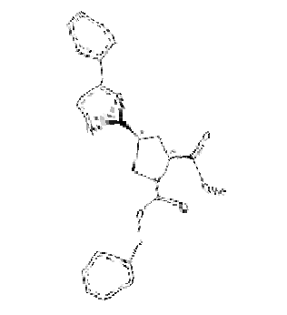 COC(=O)[C@@H]1C[C@H](c2ncc(-c3ccccc3)o2)CN1C(=O)OCc1ccccc1